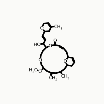 C=C1CC(C)CC2CC=CC(CC=CC(=O)OC(C(O)C=CC3CC(C)=CCO3)CCOCC(OC)C1)O2